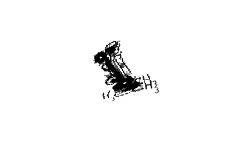 CC(C)(C)c1ccc(C(=O)NC(=S)Nc2ccccc2[N+](=O)[O-])cc1